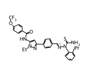 CCn1nc(-c2ccc(/C=N/N(C(N)=S)c3ccccc3C(C)C)cc2)cc1NC(=O)c1ccc(OC(F)(F)F)cc1